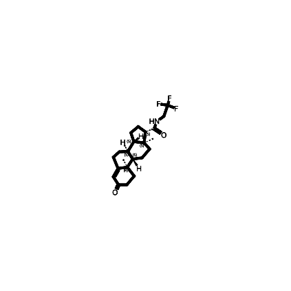 C[C@]12CC[C@H]3[C@@H](CCC4=CC(=O)CC[C@@]43C)[C@@H]1CC[C@@H]2C(=O)NCC(F)(F)F